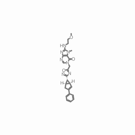 COCCNc1nc2ncn(Cc3nc([C@@H]4[C@H]5C=C(c6ccccc6)C[C@H]54)no3)c(=O)c2n1C